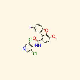 COc1ccc(C(=O)Nc2c(Cl)cncc2Cl)c2c1oc1ccc(I)cc12